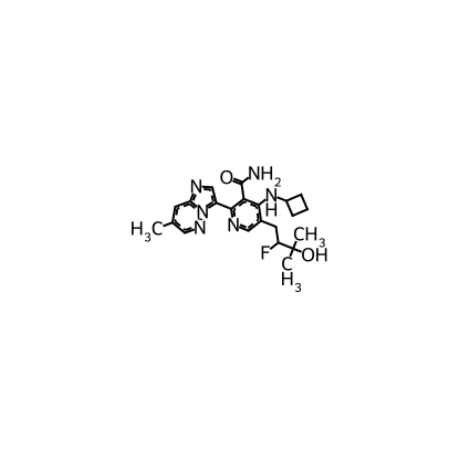 Cc1cnn2c(-c3ncc(CC(F)C(C)(C)O)c(NC4CCC4)c3C(N)=O)cnc2c1